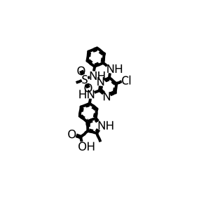 Cc1[nH]c2cc(Nc3ncc(Cl)c(Nc4ccccc4NS(C)(=O)=O)n3)ccc2c1C(=O)O